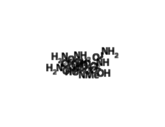 CNC1C(O[C@H]2OC(CO)[C@@H](NC(=O)CCN)CC2O)O[C@H]2CC(N)[C@@H](O[C@@H]3C(N)C[C@@H](N)C(O)C3O)OC2C1O